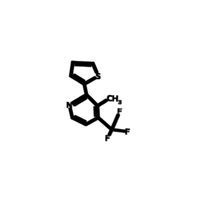 Cc1c(C(F)(F)F)ccnc1-c1cccs1